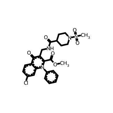 COC(=O)c1c(CNC(=O)C2CCN(S(C)(=O)=O)CC2)c(=O)c2ccc(Cl)cc2n1-c1ccccc1